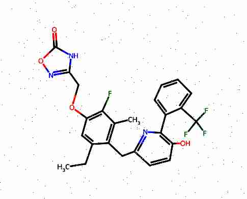 CCc1cc(OCc2noc(=O)[nH]2)c(F)c(C)c1Cc1ccc(O)c(-c2ccccc2C(F)(F)F)n1